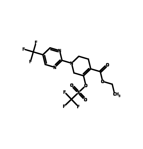 CCOC(=O)C1=C(OS(=O)(=O)C(F)(F)F)CN(c2ncc(C(F)(F)F)cn2)CC1